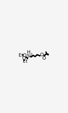 C=C(C)C(=O)OCCCCC[SiH2]C(C)(OCC)OCC